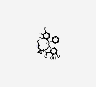 O=C1c2c(O)c(=O)ccn2N2CN1C1(/C=C/COc3c(ccc(F)c3F)[C@@H]2c2ccccc2)CC1